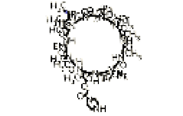 C/C=C/C[C@@H](C)[C@@H](O)[C@H]1C(=O)N[C@@H](CC)C(=O)N(C)[C@H](C)C(=O)N[C@@H]([C@H](C)COCC(=O)N2CCNCC2)C(=O)N[C@@H](C(C)C)C(=O)N(C)[C@@H](CC(C)C)C(=O)N[C@@H](C)C(=O)N[C@H](C)C(=O)N(C)[C@@H](CC(C)C)C(=O)N(C)[C@@H](CC(C)C)C(=O)N(C)[C@@H](C(C)C)C(=O)N1C